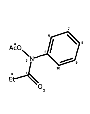 CCC(=O)N(OC(C)=O)c1ccccc1